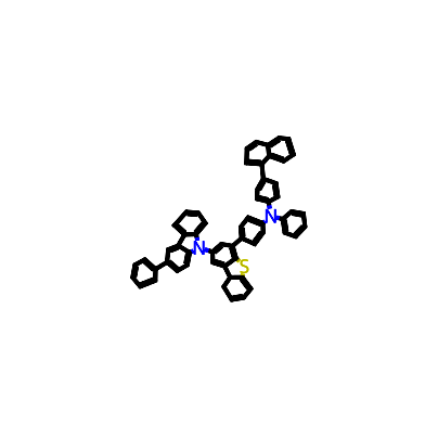 C1=CCC2C(=C1)Sc1c(-c3ccc(N(c4ccccc4)c4ccc(-c5cccc6ccccc56)cc4)cc3)cc(-n3c4ccccc4c4cc(-c5ccccc5)ccc43)cc12